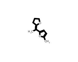 CC(=C1CCCO1)c1ccc(C)o1